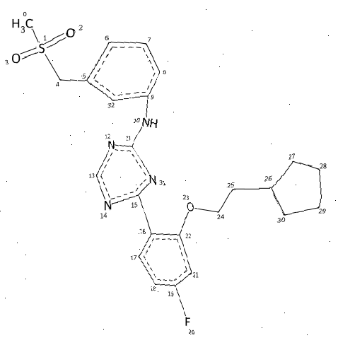 CS(=O)(=O)Cc1cccc(Nc2ncnc(-c3ccc(F)cc3OCCC3CCCC3)n2)c1